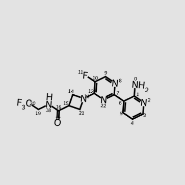 Nc1ncccc1-c1ncc(F)c(N2CC(C(=O)NCC(F)(F)F)C2)n1